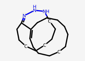 C1=C(/C2=N\NNCCCCCCCC2)CCCCCCCCCC/1